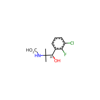 CC(C)(NC(=O)O)[C@H](O)c1cccc(Cl)c1F